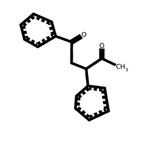 CC(=O)C(CC(=O)c1ccccc1)c1ccccc1